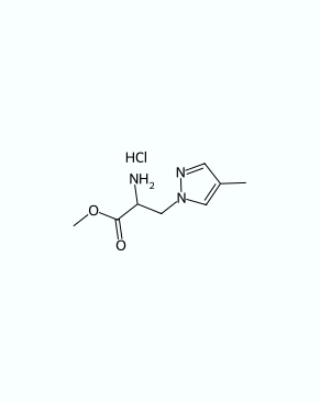 COC(=O)C(N)Cn1cc(C)cn1.Cl